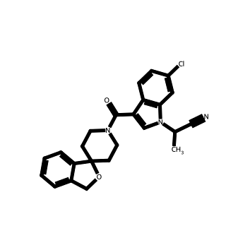 CC(C#N)n1cc(C(=O)N2CCC3(CC2)OCc2ccccc23)c2ccc(Cl)cc21